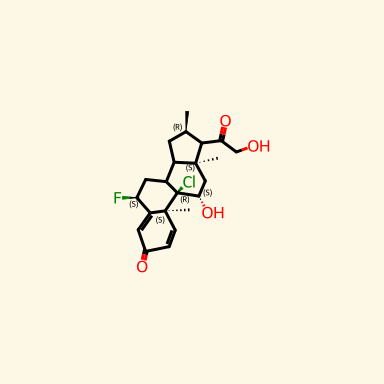 C[C@@H]1CC2C3C[C@H](F)C4=CC(=O)C=C[C@]4(C)[C@@]3(Cl)[C@@H](O)C[C@]2(C)C1C(=O)CO